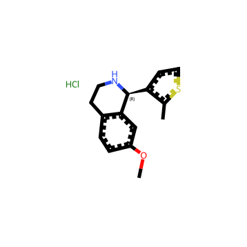 COc1ccc2c(c1)[C@H](c1ccsc1C)NCC2.Cl